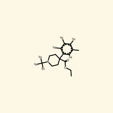 [2H]c1c([2H])c(C)c([2H])c(C2(C(=O)OCC)CCN(C([2H])([2H])[2H])CC2)c1[2H]